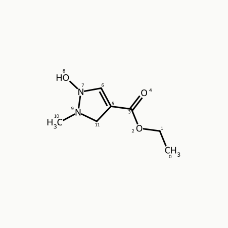 CCOC(=O)C1=CN(O)N(C)C1